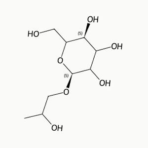 CC(O)CO[C@H]1OC(CO)[C@@H](O)C(O)C1O